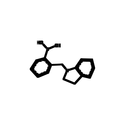 OB(O)c1ccccc1CN1CCc2ccccc21